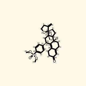 C=C1CCO[C@]12CC[C@H]1[C@@H]3CCC4=CC(=O)CCC4=C3[C@@H](c3ccc(P(=O)(OC)OC)cc3)C[C@@]12C